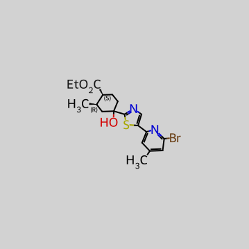 CCOC(=O)[C@H]1CCC(O)(c2ncc(-c3cc(C)cc(Br)n3)s2)C[C@H]1C